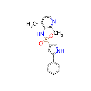 Cc1ccnc(C)c1NS(=O)(=O)c1c[nH]c(-c2ccccc2)c1